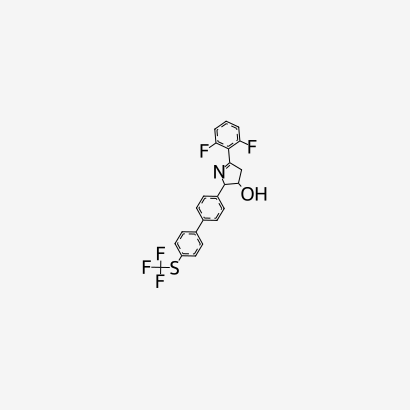 OC1CC(c2c(F)cccc2F)=NC1c1ccc(-c2ccc(SC(F)(F)F)cc2)cc1